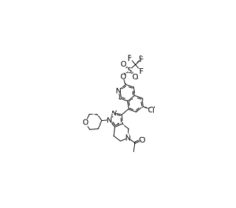 CC(=O)N1CCc2c(c(-c3cc(Cl)cc4cc(OS(=O)(=O)C(F)(F)F)ncc34)nn2C2CCOCC2)C1